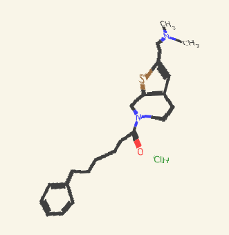 CN(C)Cc1cc2c(s1)CN(C(=O)CCCCCc1ccccc1)CC2.Cl